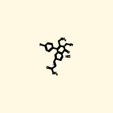 CC(C)Cn1c(CN)c(-c2ccc(F)cc2)c2cc(/C=C/C(N)=O)ccc2c1=O.Cl